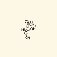 CN(C)C1(c2ccccc2)CC=C(c2[nH]c3ccc(-c4cccnc4)cc3c2CCO)CC1